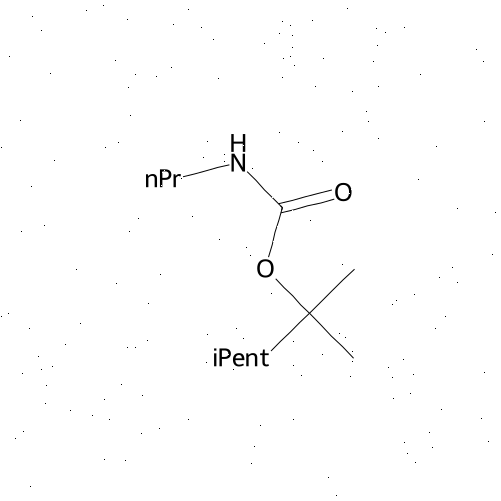 CCCNC(=O)OC(C)(C)C(C)CCC